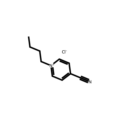 CCCC[n+]1ccc(C#N)cc1.[Cl-]